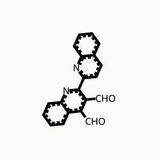 O=Cc1c(-c2ccc3ccccc3n2)nc2ccccc2c1C=O